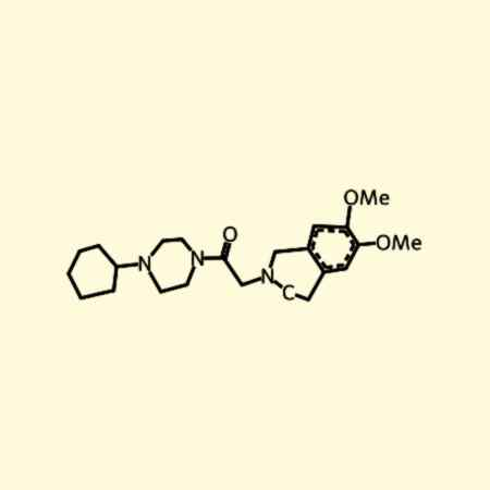 COc1cc2c(cc1OC)CN(CC(=O)N1CCN(C3CCCCC3)CC1)CC2